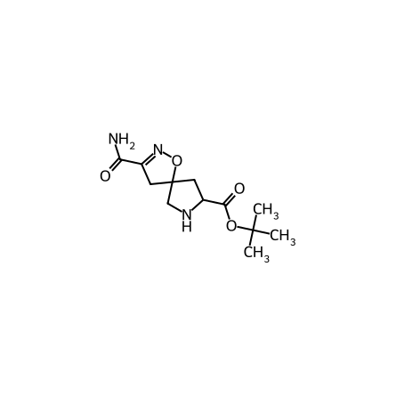 CC(C)(C)OC(=O)C1CC2(CN1)CC(C(N)=O)=NO2